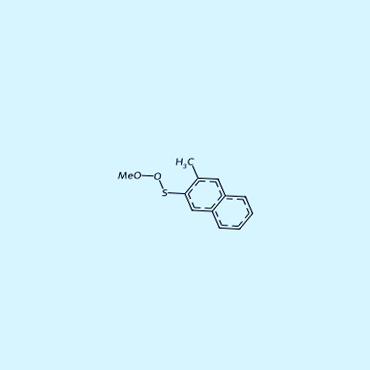 COOSc1cc2ccccc2cc1C